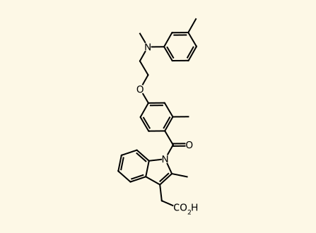 Cc1cccc(N(C)CCOc2ccc(C(=O)n3c(C)c(CC(=O)O)c4ccccc43)c(C)c2)c1